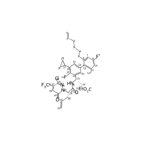 C=CCCCCc1cc(F)cc(C)c1-c1cc(C2CC2)c(F)c([C@H](CC(=O)OCC)NC(=O)[C@H](CC=C)n2nc(Cl)c(C(F)(F)F)cc2=O)c1